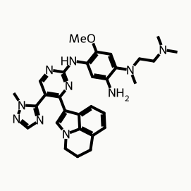 COc1cc(N(C)CCN(C)C)c(N)cc1Nc1ncc(-c2ncnn2C)c(-c2cn3c4c(cccc24)CCC3)n1